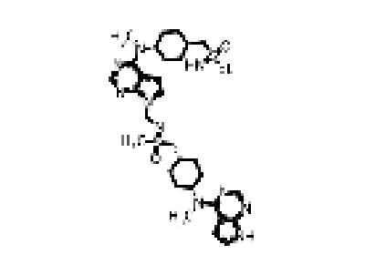 CCS(=N)(=O)C[C@H]1CC[C@@H](N(C)c2ncnc3c2ccn3CN=S(C)(=O)C[C@H]2CC[C@@H](N(C)c3ncnc4[nH]ccc34)CC2)CC1